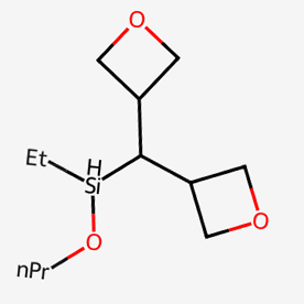 CCCO[SiH](CC)C(C1COC1)C1COC1